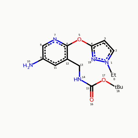 CCn1ccc(Oc2ncc(N)cc2CNC(=O)OC(C)(C)C)n1